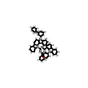 C1=CC2c3ccccc3N(c3nc(-c4ccccc4)nc(-c4cccc5c6ccccc6n(-c6ccccc6)c45)n3)C2c2c1n(-c1cccc(-c3ccccc3)c1)c1ccccc21